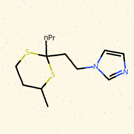 CCCC1(CCn2ccnc2)SCCC(C)S1